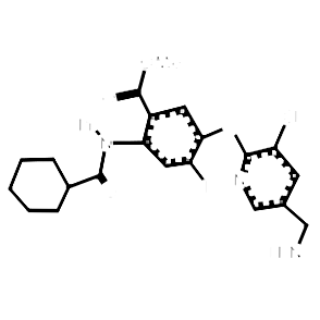 COC(=O)c1cc(Oc2ncc(CN)cc2C(F)(F)F)c(F)cc1N(C(=O)C1CCCCC1)C(C)C